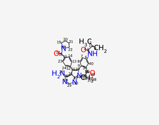 C=C(C)C(=O)Nc1ccc(-c2c(-c3ccc(C(=O)N4CCCC4)cc3)c3c(N)ncnc3n2C)c([C@H]2CCCO2)c1